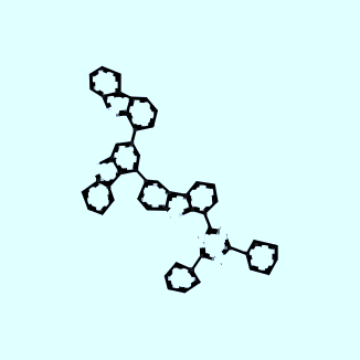 c1ccc(-c2nc(-c3ccccc3)nc(-c3cccc4c3oc3ccc(-c5cc(-c6cccc7c6oc6ccccc67)cc6oc7ccccc7c56)cc34)n2)cc1